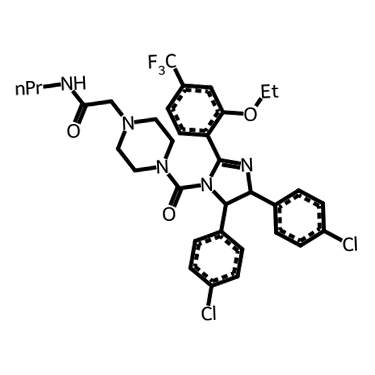 CCCNC(=O)CN1CCN(C(=O)N2C(c3ccc(C(F)(F)F)cc3OCC)=NC(c3ccc(Cl)cc3)C2c2ccc(Cl)cc2)CC1